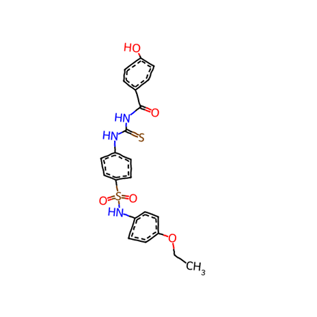 CCOc1ccc(NS(=O)(=O)c2ccc(NC(=S)NC(=O)c3ccc(O)cc3)cc2)cc1